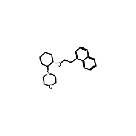 c1ccc2c(CCO[C@H]3CCCCC3N3CCOCC3)cccc2c1